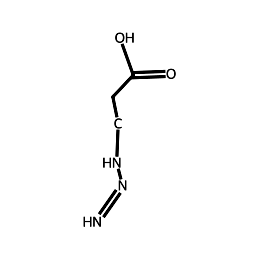 N=NNCCC(=O)O